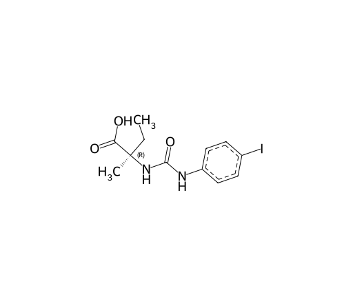 CC[C@@](C)(NC(=O)Nc1ccc(I)cc1)C(=O)O